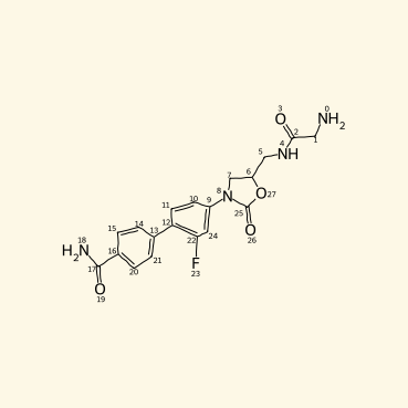 NCC(=O)NCC1CN(c2ccc(-c3ccc(C(N)=O)cc3)c(F)c2)C(=O)O1